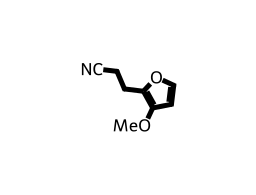 COc1ccoc1CCC#N